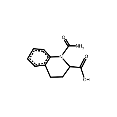 NC(=O)N1c2ccccc2CCC1C(=O)O